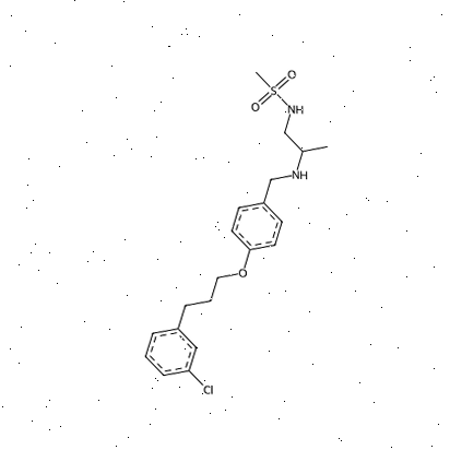 CC(CNS(C)(=O)=O)NCc1ccc(OCCCc2cccc(Cl)c2)cc1